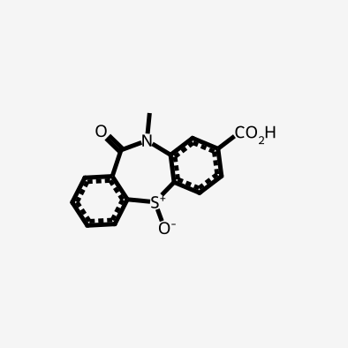 CN1C(=O)c2ccccc2[S+]([O-])c2ccc(C(=O)O)cc21